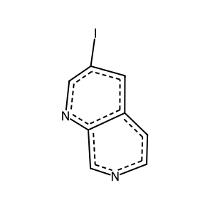 Ic1cnc2cnccc2c1